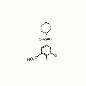 O=C(O)c1cc(S(=O)(=O)N2CCCCC2)cc(Cl)c1F